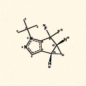 CC(C)(C)n1ncc2c1C(F)(F)[C@@H]1C[C@H]21